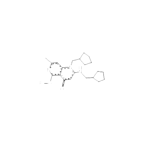 CCOc1nc(C)cc2c1c(=O)cc(NCC1CCCC1)n2CC1CCCC1